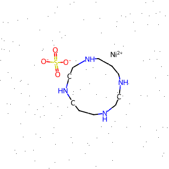 C1CNCCNCCCNCCNC1.O=S(=O)([O-])[O-].[Ni+2]